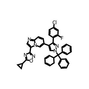 Fc1cc(Cl)ccc1-c1nn(C(c2ccccc2)(c2ccccc2)C2C=CC=CC2)cc1-c1ccc2ncc(-c3noc(C4CC4)n3)n2c1